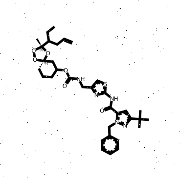 C=CCC(CC)[C@@]1(C)OO[C@@]2(CCCC(OC(=O)NCc3csc(NC(=O)c4cc(C(C)(C)C)nn4Cc4ccccc4)n3)C2)O1